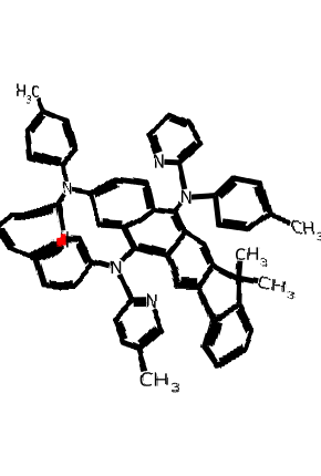 Cc1ccc(N(c2ccc3c(N(c4ccc(C)cc4)c4ccccn4)c4cc5c(cc4c(N(c4ccccc4)c4ccc(C)cn4)c3c2)-c2ccccc2C5(C)C)c2ccccn2)cc1